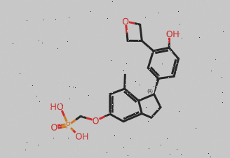 Cc1cc(OCP(=O)(O)O)cc2c1[C@@H](c1ccc(O)c(C3COC3)c1)CC2